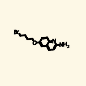 Nc1ccc2cc(OCCCCBr)ccc2n1